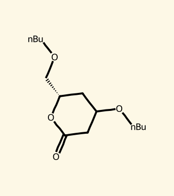 CCCCOC[C@@H]1CC(OCCCC)CC(=O)O1